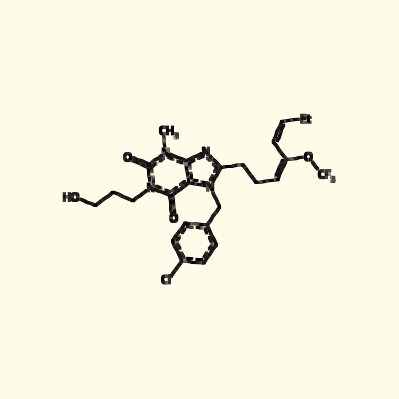 CC/C=C\C(=C/CCc1nc2c(c(=O)n(CCCO)c(=O)n2C)n1Cc1ccc(Cl)cc1)OC(F)(F)F